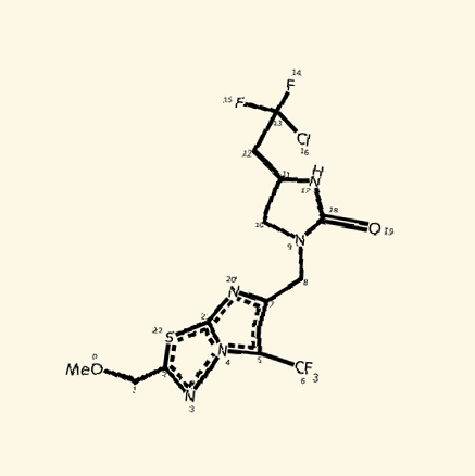 COCc1nn2c(C(F)(F)F)c(CN3CC(CC(F)(F)Cl)NC3=O)nc2s1